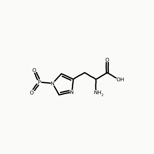 NC(Cc1cn(P(=O)=O)cn1)C(=O)O